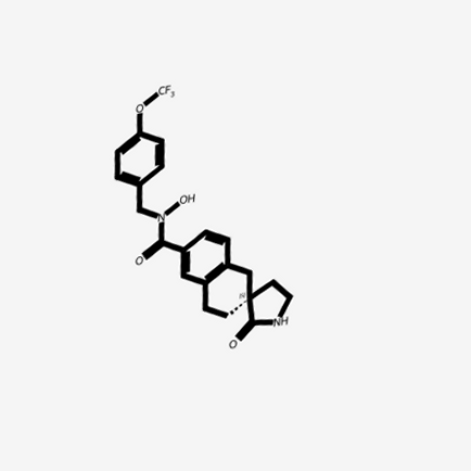 O=C(c1ccc2c(c1)CC[C@@]1(CCNC1=O)C2)N(O)Cc1ccc(OC(F)(F)F)cc1